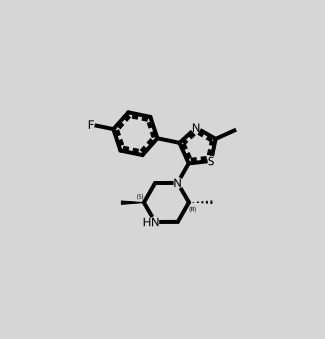 Cc1nc(-c2ccc(F)cc2)c(N2C[C@H](C)NC[C@H]2C)s1